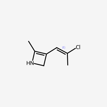 CC1=C(/C=C(\C)Cl)CN1